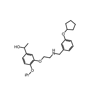 CC(C)Oc1ccc(C(C)O)cc1OCCNCc1cccc(OC2CCCC2)c1